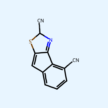 N#Cc1cccc2c1C1=NC(C#N)SC1=C2